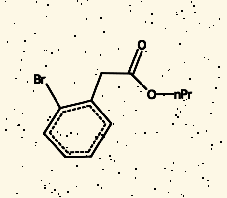 CCCOC(=O)Cc1ccccc1Br